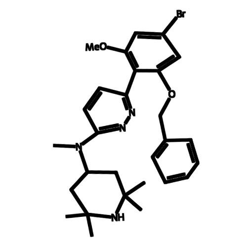 COc1cc(Br)cc(OCc2ccccc2)c1-c1ccc(N(C)C2CC(C)(C)NC(C)(C)C2)nn1